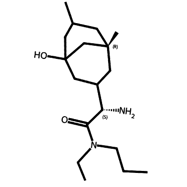 CCCN(CC)C(=O)[C@@H](N)C1CC2(O)CC(C)C[C@](C)(C1)C2